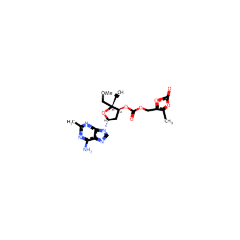 C#C[C@]1(COC)O[C@@H](n2cnc3c(N)nc(C)nc32)C[C@@H]1OC(=O)OCc1oc(=O)oc1C